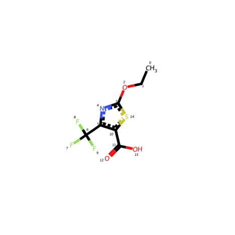 CCOc1nc(C(F)(F)F)c(C(=O)O)s1